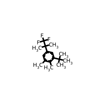 Cc1cc(C(C)(C)C(F)(F)F)cc(C(C)(C)C)c1C